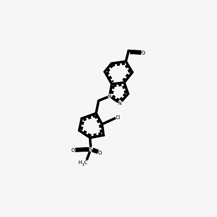 CS(=O)(=O)c1ccc(Cn2ncc3cc(C=O)ccc32)c(Cl)c1